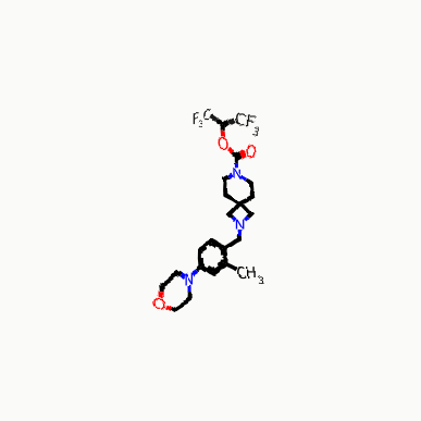 Cc1cc(N2CCOCC2)ccc1CN1CC2(CCN(C(=O)OC(C(F)(F)F)C(F)(F)F)CC2)C1